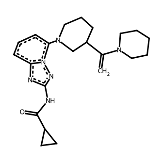 C=C(C1CCCN(c2cccc3nc(NC(=O)C4CC4)nn23)C1)N1CCCCC1